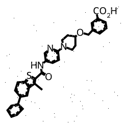 Cc1c(C(=O)Nc2ccc(N3CCC(OCc4cccc(C(=O)O)c4)CC3)nc2)sc2ccc(-c3ccccc3)cc12